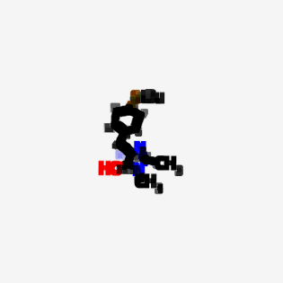 CC1=N/C(=C\c2ccc(SC(C)(C)C)cc2)C(O)N1C